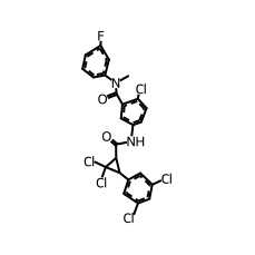 CN(C(=O)c1cc(NC(=O)C2C(c3cc(Cl)cc(Cl)c3)C2(Cl)Cl)ccc1Cl)c1cccc(F)c1